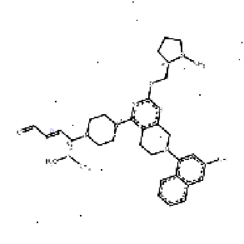 CN(C)[C@H](/C=C/C=O)N1CCN(c2nc(OC[C@H]3CCCN3C)nc3c2CCN(c2cc(O)cc4ccccc24)C3)CC1